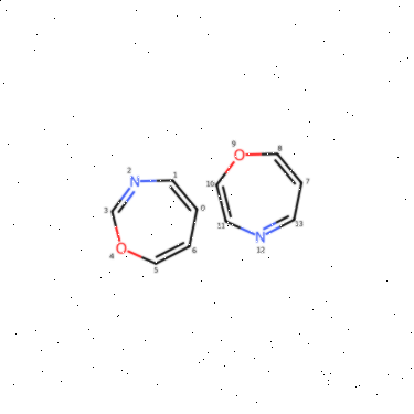 C1=CN=COC=C1.C1=COC=CN=C1